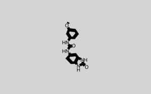 COc1cccc(NC(=O)Nc2ccc3[nH]c(=O)[nH]c3c2)c1